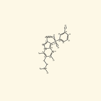 CNc1nn2c(C)c(CCN(C)C)c(C)nc2c1S(=O)(=O)c1cccc(Cl)c1